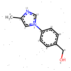 Cc1cn(-c2ccc(CO)cc2)cn1